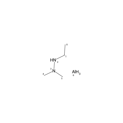 CCNN(C)C.[AlH3]